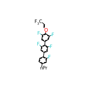 CCCc1ccc(-c2cc(F)c(-c3cc(F)c(O/C=C/C(F)(F)F)c(F)c3)c(F)c2)c(F)c1